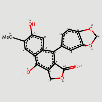 COc1cc2c(O)c3c(c(-c4ccc5c(c4)OCO5)c2cc1O)C(=O)OC3